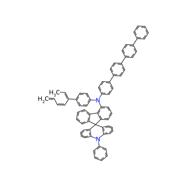 C=C/C=C\C(=C/C)c1ccc(N(c2ccc(-c3ccc(-c4ccc(-c5ccccc5)cc4)cc3)cc2)c2cccc3c2-c2ccccc2C32c3ccccc3N(c3ccccc3)c3ccccc32)cc1